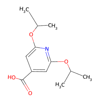 CC(C)Oc1cc(C(=O)O)cc(OC(C)C)n1